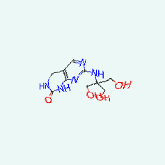 O=C1NCc2cnc(NC(CO)(CO)CO)nc2N1